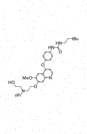 CCCN(CCO)CCOc1cc2nccc(Oc3ccc(NC(=O)NCCC(C)(C)C)cc3)c2cc1OC